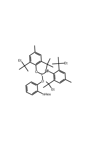 CCCCCCc1ccccc1OP(Oc1c(C(C)(C)CC)cc(C)cc1C(C)(C)CC)Oc1c(C(C)(C)CC)cc(C)cc1C(C)(C)CC